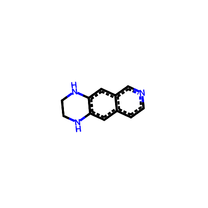 c1cc2cc3c(cc2cn1)NCCN3